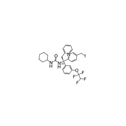 O=C(NC1CCCCC1)N[C@@](Cc1ccccc1)(c1cccc(OC(F)(F)C(F)F)c1)c1ccc(CI)cn1